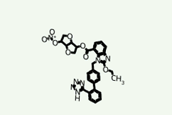 CCOc1nc2cccc(C(=O)OC3COC4C(O[N+](=O)[O-])COC34)c2n1Cc1ccc(-c2ccccc2-c2nnn[nH]2)cc1